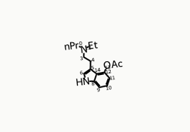 CCCN(CC)CCc1c[nH]c2cccc(OC(C)=O)c12